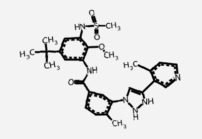 COc1c(NC(=O)c2ccc(C)c(N3C=C(c4cnccc4C)NN3)c2)cc(C(C)(C)C)cc1NS(C)(=O)=O